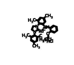 CCOc1ccccc1C=[C]=[Ru]=[C]1N(c2c(C)cc(C)cc2C)CCN1c1c(C)cc(C)cc1C.Cl.Cl